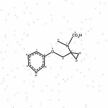 CN(C(=O)O)C1(COc2cccnc2)CC1